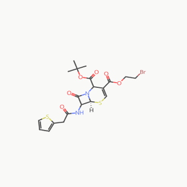 CC(C)(C)OC(=O)C1C(C(=O)OCCBr)=CS[C@H]2C(NC(=O)Cc3cccs3)C(=O)N12